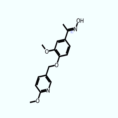 COc1ccc(COc2ccc(/C(C)=N/O)cc2OC)cn1